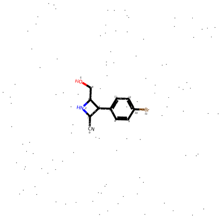 N#CC1NC(CO)C1c1ccc(Br)cc1